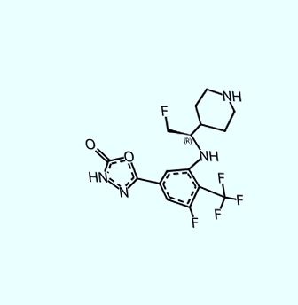 O=c1[nH]nc(-c2cc(F)c(C(F)(F)F)c(N[C@@H](CF)C3CCNCC3)c2)o1